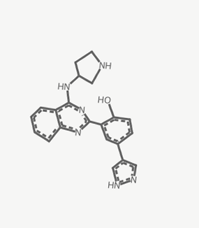 Oc1ccc(-c2cn[nH]c2)cc1-c1nc(NC2CCNC2)c2ccccc2n1